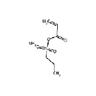 C=CC(=O)OS(=O)(=O)CCC.N